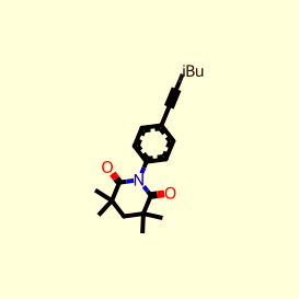 CCC(C)C#Cc1ccc(N2C(=O)C(C)(C)CC(C)(C)C2=O)cc1